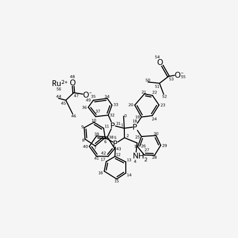 CC(C(CN)P(c1ccccc1)c1ccccc1)(P(c1ccccc1)c1ccccc1)P(c1ccccc1)c1ccccc1.CC(C)C(=O)[O-].CC(C)C(=O)[O-].[Ru+2]